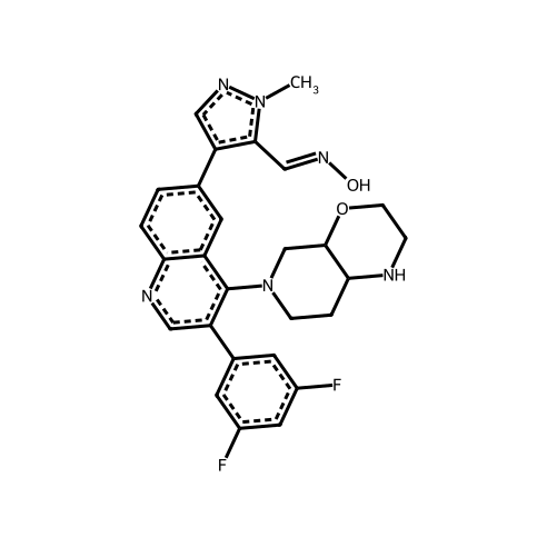 Cn1ncc(-c2ccc3ncc(-c4cc(F)cc(F)c4)c(N4CCC5NCCOC5C4)c3c2)c1C=NO